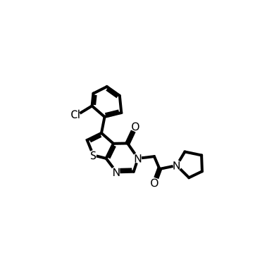 O=C(Cn1cnc2scc(-c3ccccc3Cl)c2c1=O)N1CCCC1